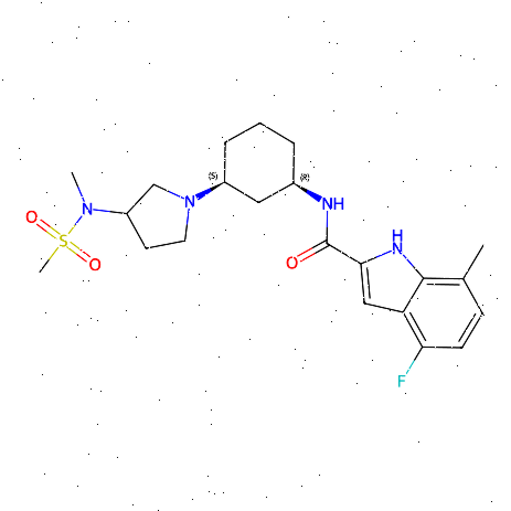 Cc1ccc(F)c2cc(C(=O)N[C@@H]3CCC[C@H](N4CCC(N(C)S(C)(=O)=O)C4)C3)[nH]c12